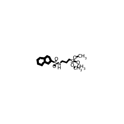 CO[Si](CCCNS(=O)(=O)c1ccc2ccccc2c1)(OC)OC